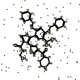 CCNC(=O)c1noc(-c2cc(C(C)C)c(OCc3ccccc3)cc2OCc2ccccc2)c1-c1cc(C(=O)N2CCOCC2)no1